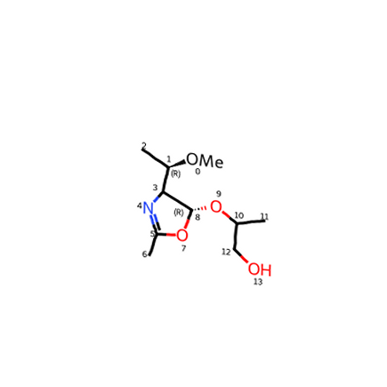 CO[C@H](C)C1N=C(C)O[C@H]1OC(C)CO